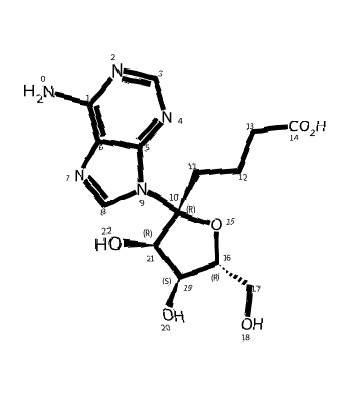 Nc1ncnc2c1ncn2[C@]1(CCCC(=O)O)O[C@H](CO)[C@@H](O)[C@H]1O